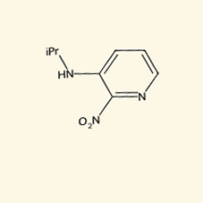 CC(C)Nc1cccnc1[N+](=O)[O-]